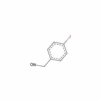 O=NCc1ccc(I)cc1